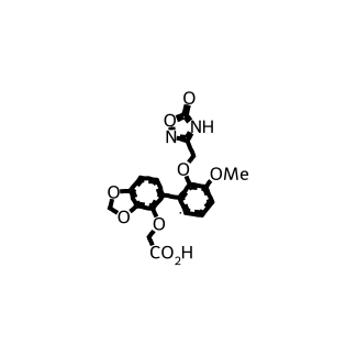 COc1cc[c]c(-c2ccc3c(c2OCC(=O)O)OCO3)c1OCc1noc(=O)[nH]1